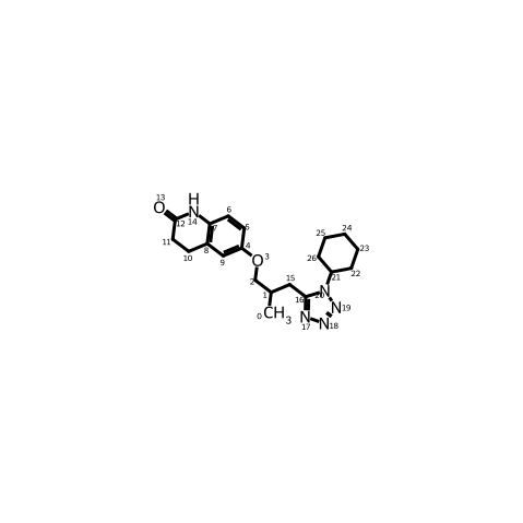 CC(COc1ccc2c(c1)CCC(=O)N2)Cc1nnnn1C1CCCCC1